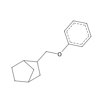 c1ccc(OCC2CC3CCC2C3)cc1